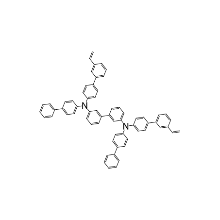 C=Cc1cccc(-c2ccc(N(c3ccc(-c4ccccc4)cc3)c3cccc(-c4cccc(N(c5ccc(-c6ccccc6)cc5)c5ccc(-c6cccc(C=C)c6)cc5)c4)c3)cc2)c1